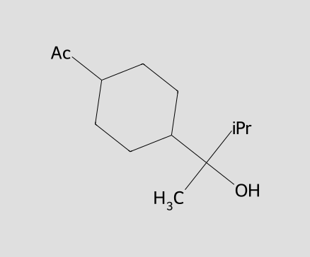 CC(=O)C1CCC(C(C)(O)C(C)C)CC1